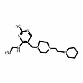 CC(C)(C)CNc1nc(C#N)ncc1CN1CCN(CCN2CCCCC2)CC1